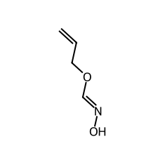 C=CCOC=NO